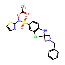 CC1(Nc2ccc(S(=O)(=O)N(OC(=O)C(F)(F)F)c3nccs3)cc2Cl)CN(Cc2ccccc2)C1